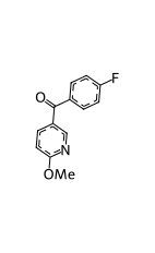 COc1ccc(C(=O)c2ccc(F)cc2)cn1